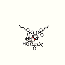 CCCCOC(=O)Oc1ccc(C[C@](NC(C)CC)(OC(=O)OCC(C)(C)C)C(=O)O)cc1OC(=O)OCCCC